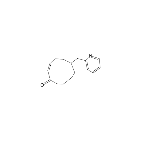 O=C1C=CCCC(Cc2ccccn2)CCCC1